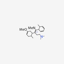 CN/C(=C(/CCN(C)C)C1CC(OC)=CCC1C)C1C=CC=CC1C